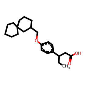 CCC(CC(=O)O)c1ccc(OCC2CCCC3(CCCCC3)C2)cc1